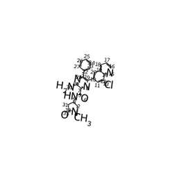 CN1CC(NC(=O)c2nc(-c3cc(Cl)c4ncccc4c3)c(-c3ccccc3)nc2N)CC1=O